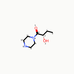 CC[C@H](O)C(=O)N1CC[N]CC1